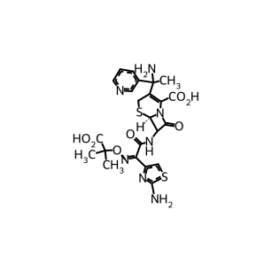 CC(C)(O/N=C(\C(=O)NC1C(=O)N2C(C(=O)O)=C(C(C)(N)c3cccnc3)CS[C@H]12)c1csc(N)n1)C(=O)O